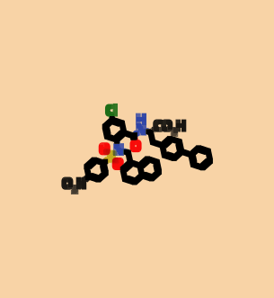 O=C(N[C@@H](Cc1ccc(-c2ccccc2)cc1)C(=O)O)c1cc(Cl)ccc1N(Cc1cccc2ccccc12)S(=O)(=O)c1ccc([N+](=O)[O-])cc1